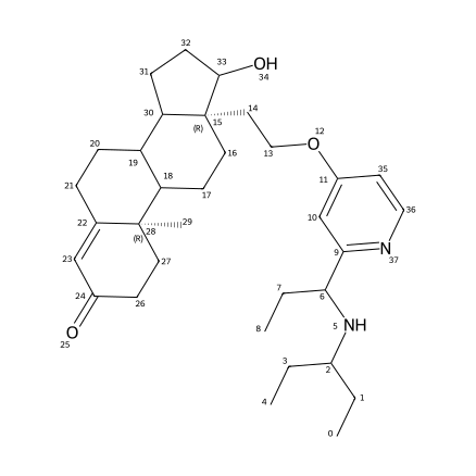 CCC(CC)NC(CC)c1cc(OCC[C@]23CCC4C(CCC5=CC(=O)CC[C@@]54C)C2CCC3O)ccn1